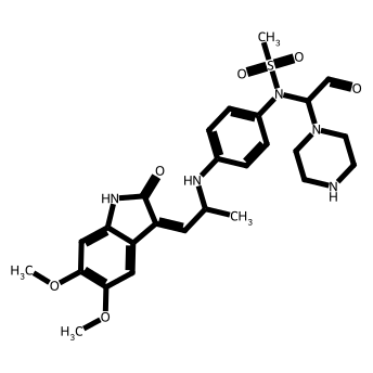 COc1cc2c(cc1OC)C(=CC(C)Nc1ccc(N(C(C=O)N3CCNCC3)S(C)(=O)=O)cc1)C(=O)N2